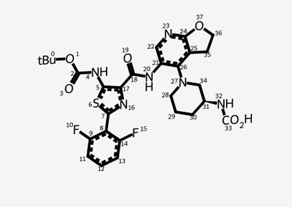 CC(C)(C)OC(=O)Nc1sc(-c2c(F)cccc2F)nc1C(=O)Nc1cnc2c(c1N1CCC[C@H](NC(=O)O)C1)CCO2